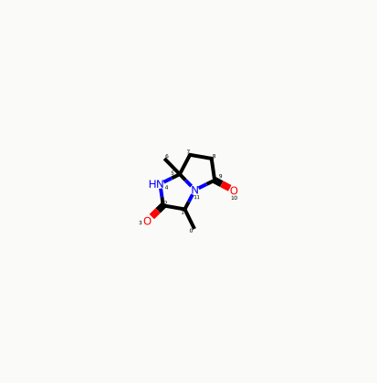 CC1C(=O)NC2(C)CCC(=O)N12